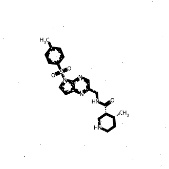 Cc1ccc(S(=O)(=O)n2ccc3nc(CNC(=O)[C@H]4CNCC[C@H]4C)cnc32)cc1